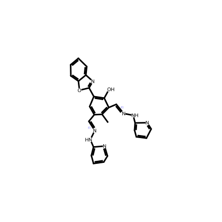 Cc1c(/C=N/Nc2ccccn2)cc(-c2nc3ccccc3o2)c(O)c1/C=N/Nc1ccccn1